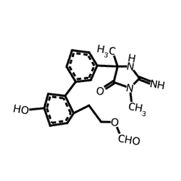 CN1C(=N)NC(C)(c2cccc(-c3cc(O)ccc3CCOC=O)c2)C1=O